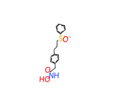 O=C(Cc1ccc(CCC[S+]([O-])c2ccccc2)cc1)NO